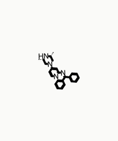 C[C@@H]1CN(c2ccnc(N=C(c3ccccc3)c3ccccc3)c2)C[C@H](C)N1